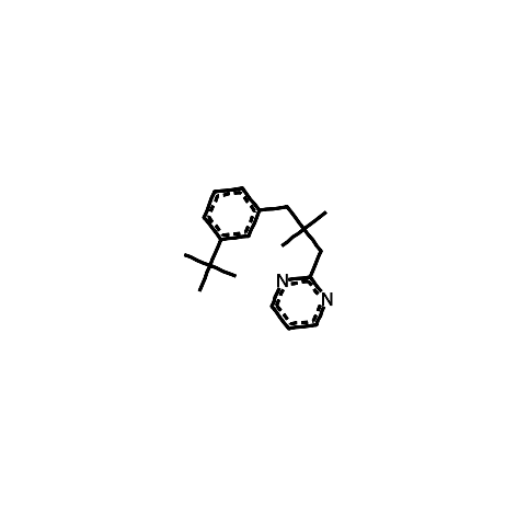 CC(C)(Cc1cccc(C(C)(C)C)c1)Cc1ncccn1